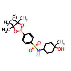 CC1(O)CCC(NS(=O)(=O)c2ccc(B3OC(C)(C)C(C)(C)O3)cc2)CC1